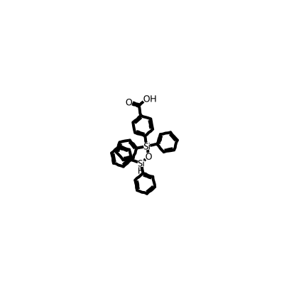 O=C(O)c1ccc([Si](O[SiH](c2ccccc2)c2ccccc2)(c2ccccc2)c2ccccc2)cc1